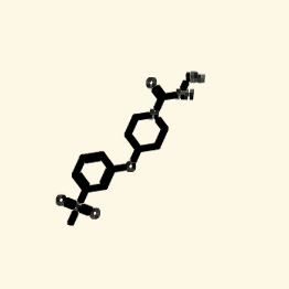 CC(C)(C)NC(=O)N1CCC(Oc2cccc(S(C)(=O)=O)c2)CC1